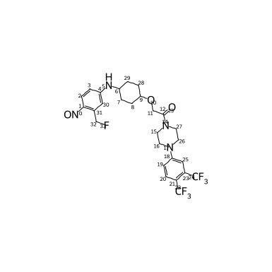 O=Nc1ccc(NC2CCC(OCC(=O)N3CCN(c4ccc(C(F)(F)F)c(C(F)(F)F)c4)CC3)CC2)cc1CF